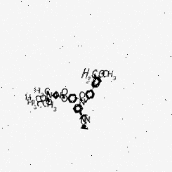 COc1ccc([C@H]2CC[C@H](CN(c3cccc(-c4cnn(C5CC5)c4)c3)C(=O)[C@H]3CC[C@H](OC(=O)N4CC(N(C)C(=O)OC(C)(C)C)C4)CC3)CC2)cc1C